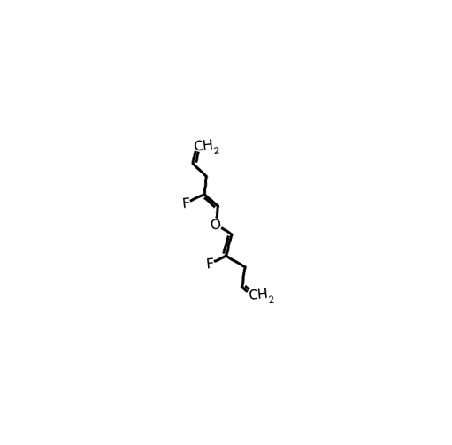 C=CCC(F)=COC=C(F)CC=C